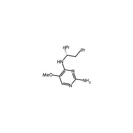 CCC[C@H](CC(C)C)Nc1nc(N)ncc1OC